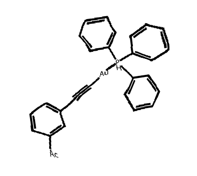 CC(=O)c1cccc(C#[C][Au][PH](c2ccccc2)(c2ccccc2)c2ccccc2)c1